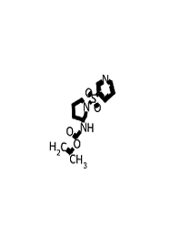 C=C(C)OC(=O)NC1CCCN(S(=O)(=O)c2cccnc2)C1